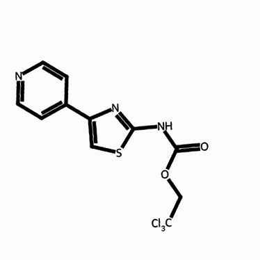 O=C(Nc1nc(-c2ccncc2)cs1)OCC(Cl)(Cl)Cl